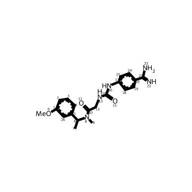 COc1cccc(C(C)N(C)C(=O)CNC(=O)Nc2ccc(C(=N)N)cc2)c1